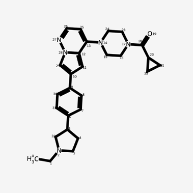 CCN1CCC(c2ccc(-c3cc4c(N5CCN(C(=O)C6CC6)CC5)ccnn4c3)cc2)C1